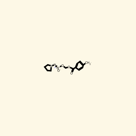 [CH2]c1ccc(C(=O)OCO/[N+]([O-])=N/N2CCCC2)cc1